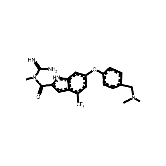 CN(C)Cc1ccc(Oc2cc(C(F)(F)F)c3cc(C(=O)N(C)C(=N)N)[nH]c3c2)cc1